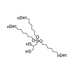 CCCCCCCCCCCCCCCCO[Si](CC(S)CS)(OCCCCCCCCCCCCCCCC)OCCCCCCCCCCCCCCCC